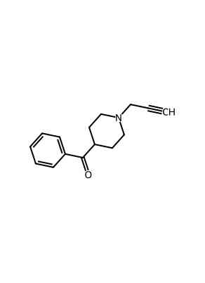 C#CCN1CCC(C(=O)c2ccccc2)CC1